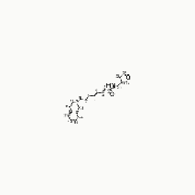 O=C(/C=C/C=C/CCCc1ccc2ccccc2c1)NCC1CCOC1